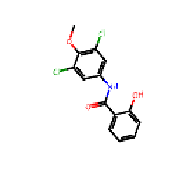 COc1c(Cl)cc(NC(=O)c2ccccc2O)cc1Cl